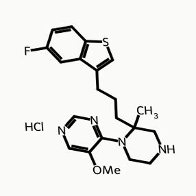 COc1cncnc1N1CCNCC1(C)CCCc1csc2ccc(F)cc12.Cl